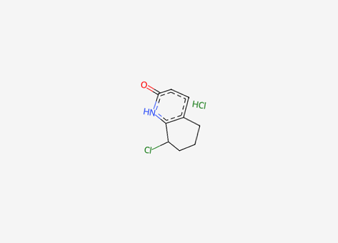 Cl.O=c1ccc2c([nH]1)C(Cl)CCC2